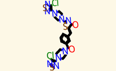 O=C1N=C(N2CCN(c3nsnc3Cl)CC2)SC1=Cc1cccc(C(=O)N2CCN(c3nsnc3Cl)CC2)c1